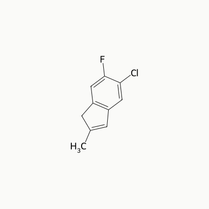 CC1=Cc2cc(Cl)c(F)cc2C1